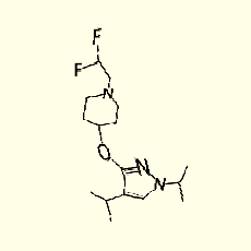 CC(C)c1cn(C(C)C)nc1OC1CCN(CC(F)F)CC1